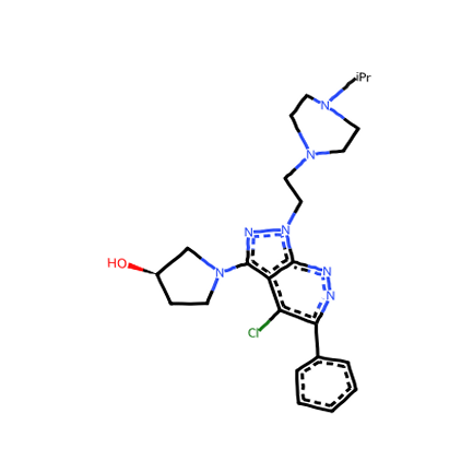 CC(C)N1CCN(CCn2nc(N3CC[C@@H](O)C3)c3c(Cl)c(-c4ccccc4)nnc32)CC1